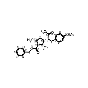 CC[C@H]1[C@@H](N(Cc2ccc(OC)cc2)C(=O)C(F)(F)F)C[C@@H](C)N1C(=O)OCc1ccccc1